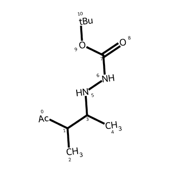 CC(=O)C(C)C(C)NNC(=O)OC(C)(C)C